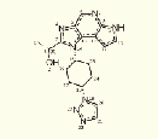 C[C@@H](O)c1nc2cnc3[nH]ccc3c2n1[C@H]1CC[C@@H](n2ccnn2)CC1